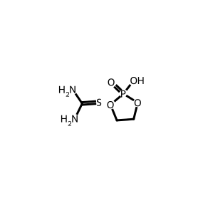 NC(N)=S.O=P1(O)OCCO1